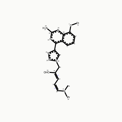 CCOc1cccc2c(-c3cn(C/C(C=O)=C/C=C\N(C)C(C)C)nn3)nc(N)nc12